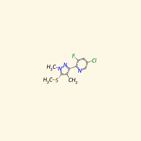 CSc1c(C)c(-c2ncc(Cl)cc2F)nn1C